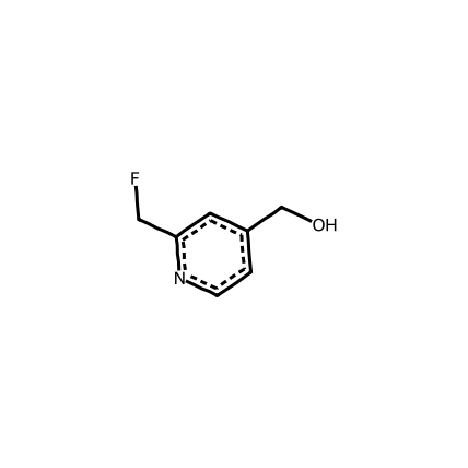 OCc1ccnc(CF)c1